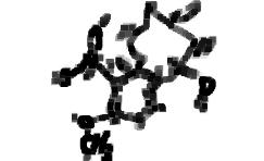 COc1ccc2c(c1[N+](=O)[O-])CCCCC2=O